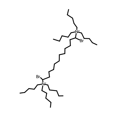 CCCCC[N+](CCCCC)(CCCCC)C(Br)CCCCCCCCCCC(Br)[N+](CCCCC)(CCCCC)CCCCC